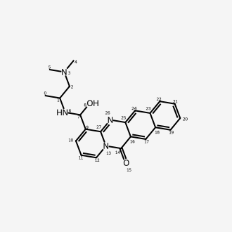 CC(CN(C)C)NC(O)c1cccn2c(=O)c3cc4ccccc4cc3nc12